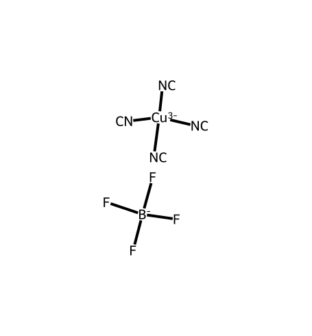 F[B-](F)(F)F.[C-]#[N+][Cu-3]([N+]#[C-])([N+]#[C-])[N+]#[C-]